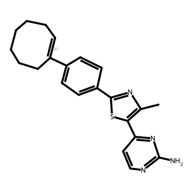 Cc1nc(-c2ccc(/C3=C/CCCCCC3)cc2)sc1-c1ccnc(N)n1